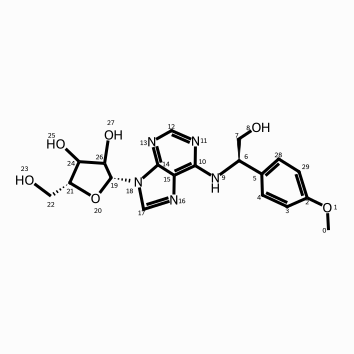 COc1ccc([C@H](CO)Nc2ncnc3c2ncn3[C@@H]2O[C@H](CO)C(O)C2O)cc1